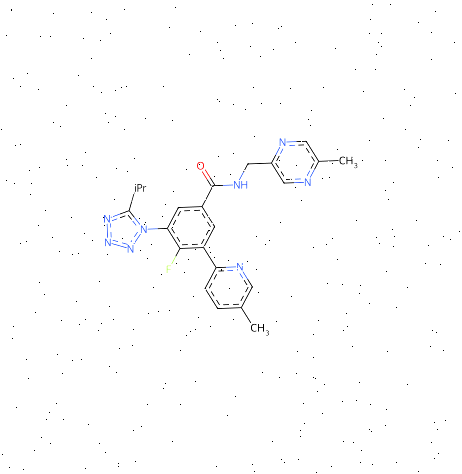 Cc1ccc(-c2cc(C(=O)NCc3cnc(C)cn3)cc(-n3nnnc3C(C)C)c2F)nc1